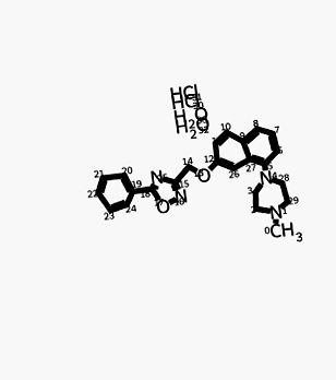 CN1CCN(c2cccc3ccc(OCc4noc(-c5ccccc5)n4)cc23)CC1.Cl.Cl.O.O